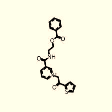 O=C(NCCOC(=O)c1ccccc1)c1ccc[n+](CC(=O)c2cccs2)c1